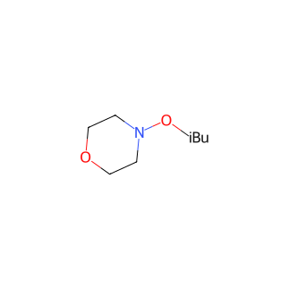 CCC(C)ON1CCOCC1